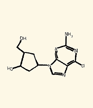 Nc1nc(Cl)c2ncn(C3CC(O)C(CO)C3)c2n1